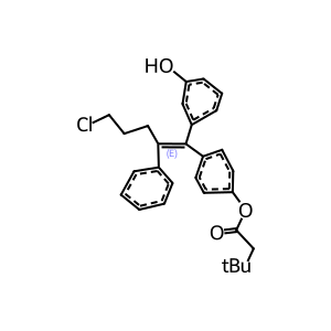 CC(C)(C)CC(=O)Oc1ccc(/C(=C(/CCCCl)c2ccccc2)c2cccc(O)c2)cc1